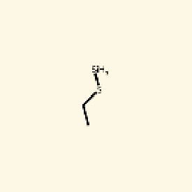 CCS[SiH3]